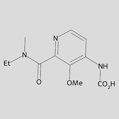 CCN(C)C(=O)c1nccc(NC(=O)O)c1OC